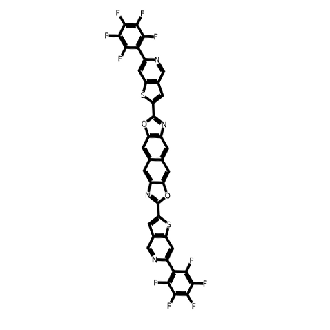 Fc1c(F)c(F)c(-c2cc3sc(-c4nc5cc6cc7oc(-c8cc9cnc(-c%10c(F)c(F)c(F)c(F)c%10F)cc9s8)nc7cc6cc5o4)cc3cn2)c(F)c1F